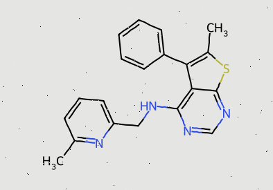 Cc1cccc(CNc2ncnc3sc(C)c(-c4ccccc4)c23)n1